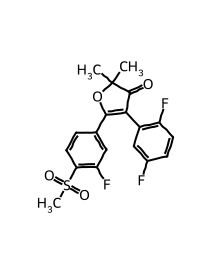 CC1(C)OC(c2ccc(S(C)(=O)=O)c(F)c2)=C(c2cc(F)ccc2F)C1=O